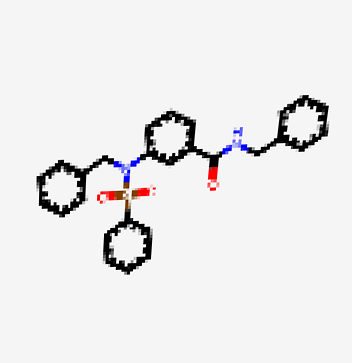 O=C(NCc1ccccc1)c1cccc(N(Cc2ccccc2)S(=O)(=O)c2ccccc2)c1